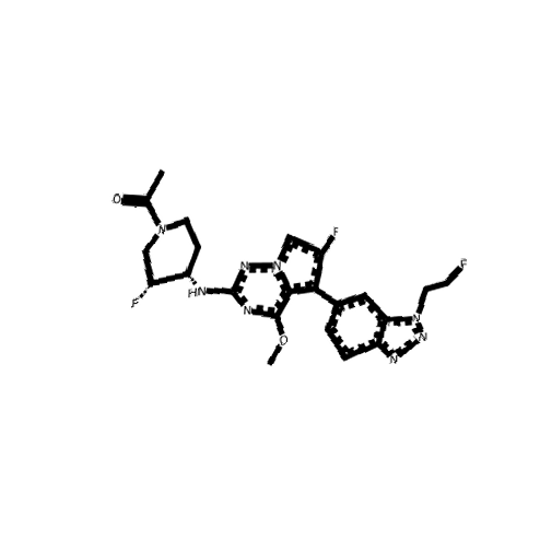 COc1nc(N[C@H]2CCN(C(C)=O)C[C@H]2F)nn2cc(F)c(-c3ccc4nnn(CCF)c4c3)c12